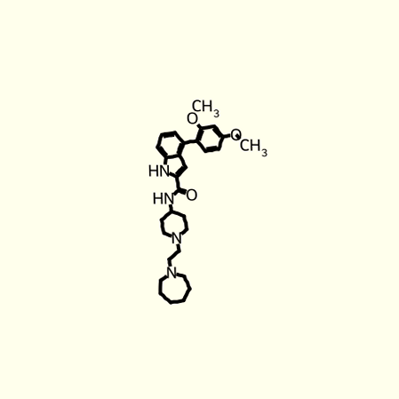 COc1ccc(-c2cccc3[nH]c(C(=O)NC4CCN(CCN5CCCCCC5)CC4)cc23)c(OC)c1